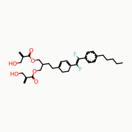 C=C(CO)C(=O)OCC(CCC1=CC=C(/C(F)=C(\F)c2ccc(CCCCC)cc2)CC1)COC(=O)C(=C)CO